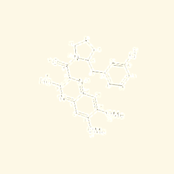 COc1cc2nc(O)c(C(=O)N3CCCC3Cc3cccc(Cl)c3)nc2cc1OC